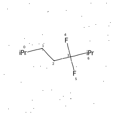 CC(C)CCC(F)(F)C(C)C